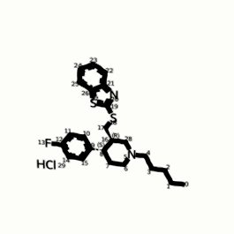 CCCCCN1CC[C@H](c2ccc(F)cc2)[C@@H](CSc2nc3ccccc3s2)C1.Cl